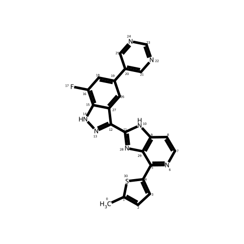 Cc1ccc(-c2nccc3[nH]c(-c4n[nH]c5c(F)cc(-c6cncnc6)cc45)nc23)s1